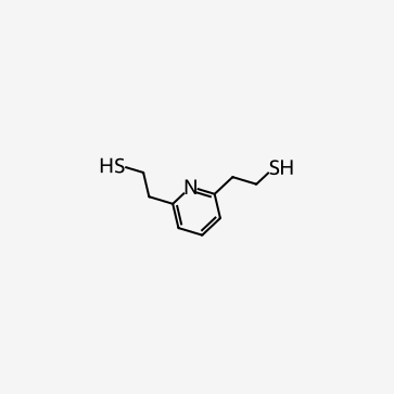 SCCc1cccc(CCS)n1